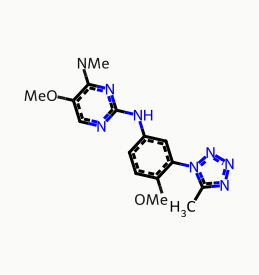 CNc1nc(Nc2ccc(OC)c(-n3nnnc3C)c2)ncc1OC